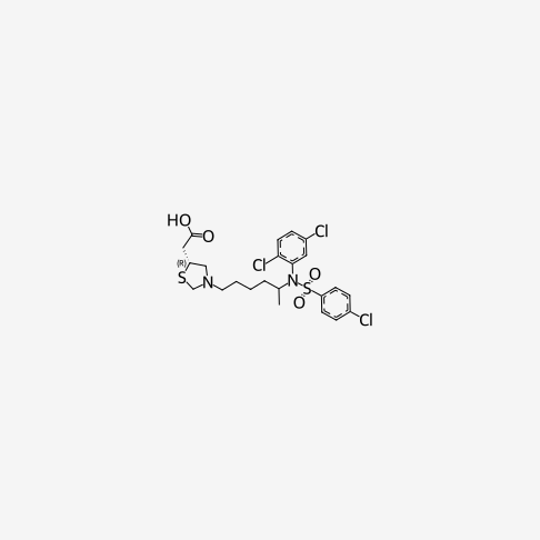 CC(CCCCN1CS[C@H](CC(=O)O)C1)N(c1cc(Cl)ccc1Cl)S(=O)(=O)c1ccc(Cl)cc1